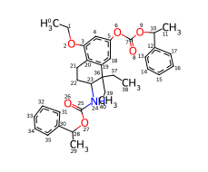 CCOc1cc(OC(=O)OC(C)c2ccccc2)cc2c1CCC(NC(=O)OC(C)c1ccccc1)C2(CC)CC